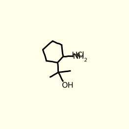 CC(C)(O)C1CCCCC1N.Cl